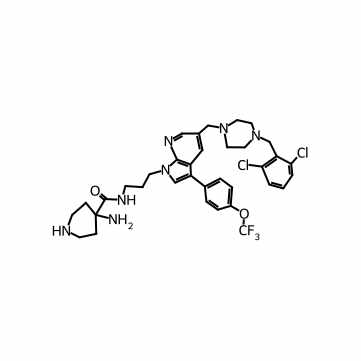 NC1(C(=O)NCCCn2cc(-c3ccc(OC(F)(F)F)cc3)c3cc(CN4CCN(Cc5c(Cl)cccc5Cl)CC4)cnc32)CCNCC1